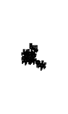 CCC[NH2+]CF.FC1=C(F)[CH]([Al-]([CH]2C(F)=C(F)c3c2cc(F)c(F)c3F)([CH]2C(F)=C(F)c3c2cc(F)c(F)c3F)[CH]2C(F)=C(F)c3c2cc(F)c(F)c3F)c2cc(F)c(F)c(F)c21.Fc1ccccc1-c1c(F)c(F)c(F)c(F)c1F